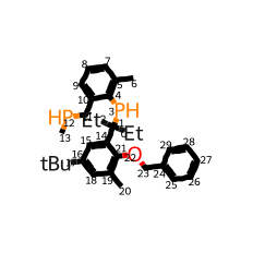 CCC(CC)(Pc1c(C)cccc1CPC)c1cc(C(C)(C)C)cc(C)c1OCc1ccccc1